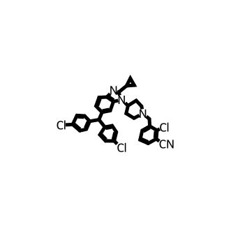 N#Cc1cccc(CN2CCC(n3c(C4CC4)nc4ccc(C(c5ccc(Cl)cc5)c5ccc(Cl)cc5)cc43)CC2)c1Cl